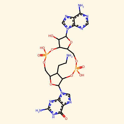 NCCC1C2COP(=O)(O)OC3C(COP(=O)(O)OC1C(n1cnc4c(=O)[nH]c(N)nc41)O2)OC(n1cnc2c(N)ncnc21)C3O